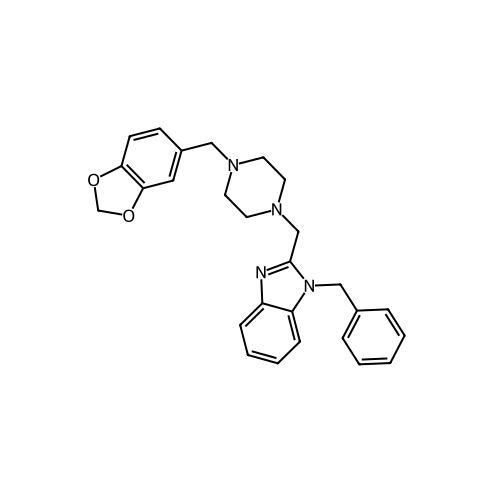 c1ccc(Cn2c(CN3CCN(Cc4ccc5c(c4)OCO5)CC3)nc3ccccc32)cc1